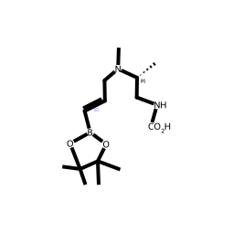 C[C@H](CNC(=O)O)N(C)C/C=C/B1OC(C)(C)C(C)(C)O1